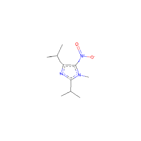 CC(C)c1nc(C(C)C)n(C)c1[N+](=O)[O-]